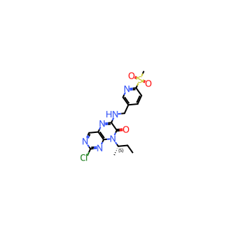 CC[C@H](C)n1c(=O)c(NCc2ccc(S(C)(=O)=O)nc2)nc2cnc(Cl)nc21